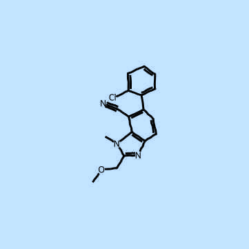 COCc1nc2ccc(-c3ccccc3Cl)c(C#N)c2n1C